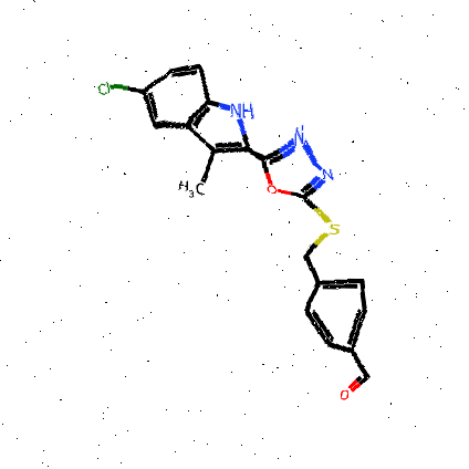 Cc1c(-c2nnc(SCc3ccc(C=O)cc3)o2)[nH]c2ccc(Cl)cc12